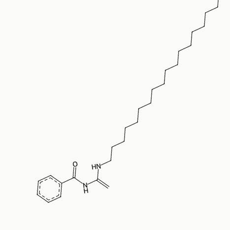 C=C(NCCCCCCCCCCCCCCCCCC)NC(=O)c1ccccc1